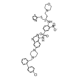 O=[N+]([O-])c1cc(S(=O)(=O)Nc2ncnc3cc(N4CCN(Cc5ccccc5-c5ccc(Cl)cc5)CC4)ccc23)ccc1N[C@H](CCN1CCOCC1)CSc1nccs1